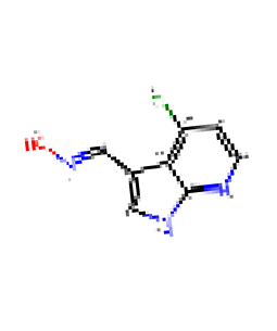 ON=Cc1c[nH]c2nccc(Cl)c12